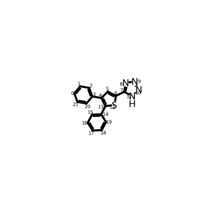 c1ccc(-c2cc(-c3nnn[nH]3)sc2-c2ccccc2)cc1